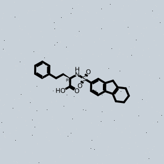 O=C(O)[C@@H](CCc1ccccc1)NS(=O)(=O)c1ccc2c(c1)CC1=C2CCCC1